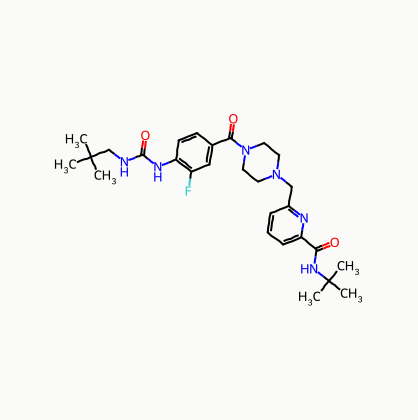 CC(C)(C)CNC(=O)Nc1ccc(C(=O)N2CCN(Cc3cccc(C(=O)NC(C)(C)C)n3)CC2)cc1F